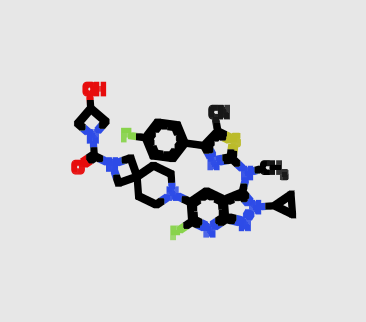 CN(c1nc(-c2ccc(F)cc2)c(C#N)s1)c1c2cc(N3CCC4(CC3)CN(C(=O)N3CC(O)C3)C4)c(F)nc2nn1C1CC1